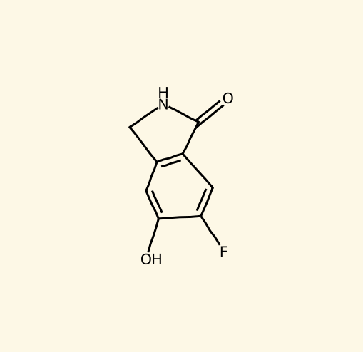 O=C1NCc2cc(O)c(F)cc21